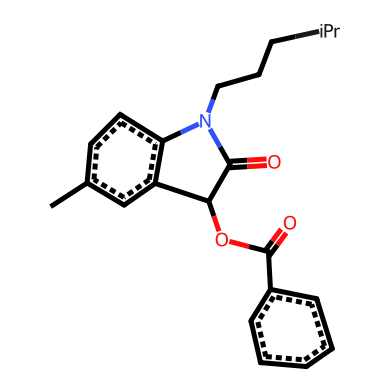 Cc1ccc2c(c1)C(OC(=O)c1ccccc1)C(=O)N2CCCC(C)C